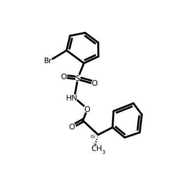 C[C@H](C(=O)ONS(=O)(=O)c1ccccc1Br)c1ccccc1